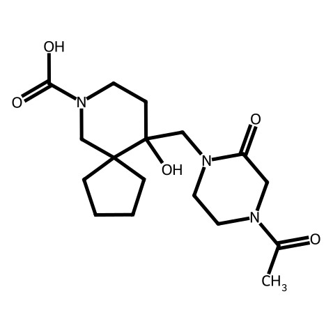 CC(=O)N1CCN(CC2(O)CCN(C(=O)O)CC23CCCC3)C(=O)C1